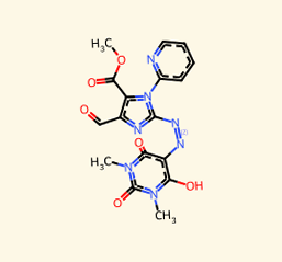 COC(=O)c1c(C=O)nc(/N=N\c2c(O)n(C)c(=O)n(C)c2=O)n1-c1ccccn1